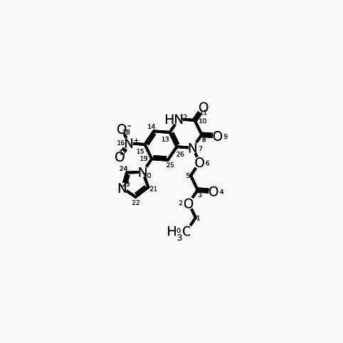 CCOC(=O)COn1c(=O)c(=O)[nH]c2cc([N+](=O)[O-])c(-n3ccnc3)cc21